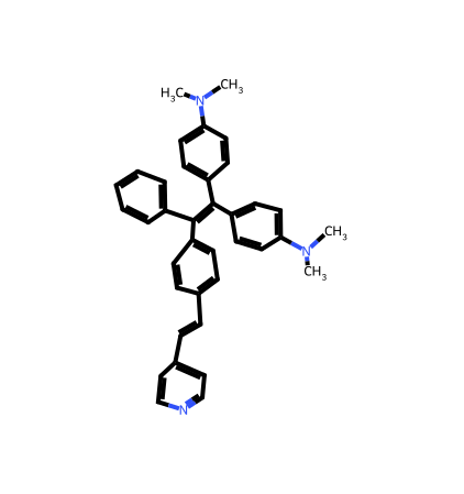 CN(C)c1ccc(C(=C(c2ccccc2)c2ccc(C=Cc3ccncc3)cc2)c2ccc(N(C)C)cc2)cc1